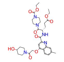 CCOC(=O)CC[C@H](NC(=O)c1cc(OCC(=O)N2CCC(O)CC2)c2ccc(C)cc2n1)C(=O)N1CCN(C(=O)OCC)CC1